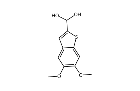 COc1cc2cc(C(O)O)sc2cc1OC